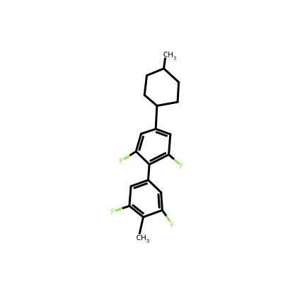 Cc1c(F)cc(-c2c(F)cc(C3CCC(C)CC3)cc2F)cc1F